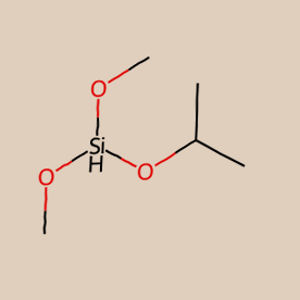 CO[SiH](OC)OC(C)C